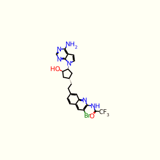 Nc1ncnc2c1ccn2[C@@H]1C[C@H](CCc2ccc3cc(Br)c(NC(=O)C(F)(F)F)nc3c2)C[C@H]1O